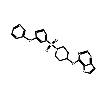 O=S(=O)(c1cccc(Oc2ccccc2)c1)N1CCC(Oc2ncnc3ccsc23)CC1